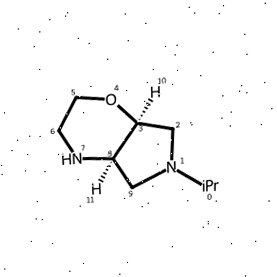 CC(C)N1C[C@@H]2OCCN[C@@H]2C1